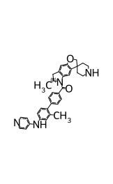 Cc1cc(Nc2ccncc2)ccc1-c1ccc(C(=O)N2c3cc4c(cc3C[C@H]2C)OCC42CCNCC2)cc1